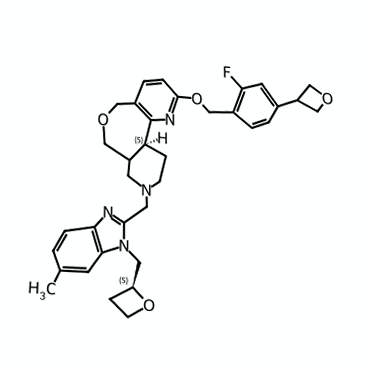 Cc1ccc2nc(CN3CC[C@@H]4c5nc(OCc6ccc(C7COC7)cc6F)ccc5COCC4C3)n(C[C@@H]3CCO3)c2c1